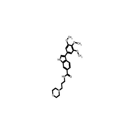 COc1cc(-c2c[nH]c3cc(C(=O)NCCCN4CCOCC4)ccc23)cc(OC)c1OC